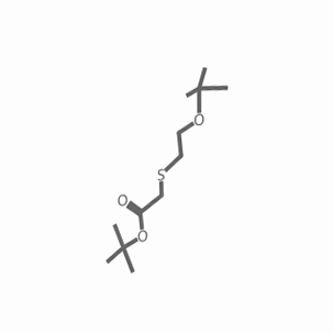 CC(C)(C)OCCSCC(=O)OC(C)(C)C